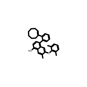 Cc1cc2c(O)ccc(-c3ccccc3/C3=C/CCCCCC3)c2cc1Sc1c(C)cccc1C